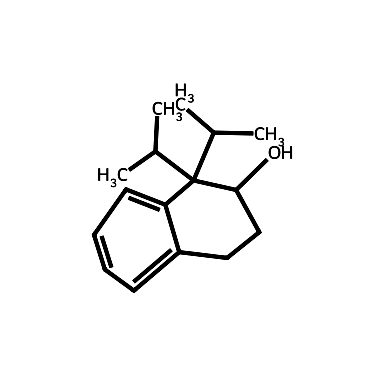 CC(C)C1(C(C)C)c2ccccc2CCC1O